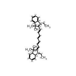 CCN1/C(=C/C=C/C=C/C=C/C2=[N+](CC)c3ccccc3C2(C)C)C(C)(C)C2C=CC=CC21